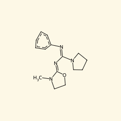 CN1CCOC1=NC(=Nc1ccccc1)N1CCCC1